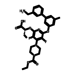 CCOC(=O)N1CCN(c2c(F)c(Oc3cc(C)cc(-c4cccc(CN)c4)c3)nc(O[C@H](CC)C(=O)O)c2F)CC1